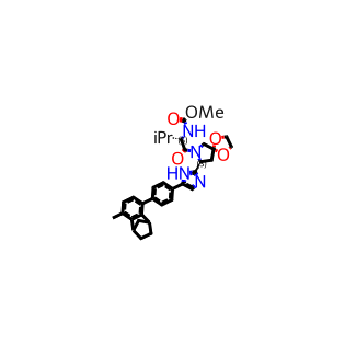 COC(=O)N[C@H](C(=O)N1CC2(C[C@H]1c1ncc(-c3ccc(-c4ccc(C)c5c4C4CCC5C4)cc3)[nH]1)OCCO2)C(C)C